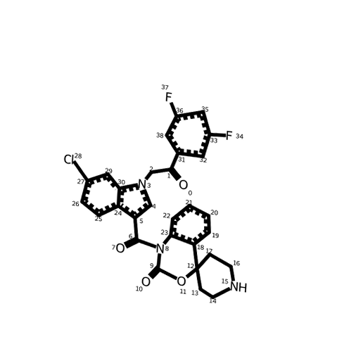 O=C(Cn1cc(C(=O)N2C(=O)OC3(CCNCC3)c3ccccc32)c2ccc(Cl)cc21)c1cc(F)cc(F)c1